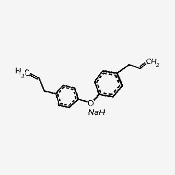 C=CCc1ccc(Oc2ccc(CC=C)cc2)cc1.[NaH]